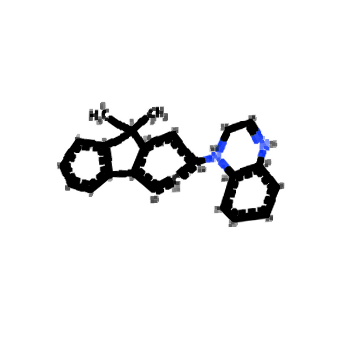 CC1(C)c2ccccc2-c2ccc(N3CC=Nc4ccccc43)cc21